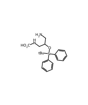 CC(C)(C)[Si](OC(CN)CNC(=O)O)(c1ccccc1)c1ccccc1